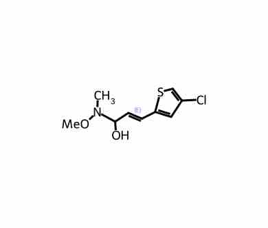 CON(C)C(O)/C=C/c1cc(Cl)cs1